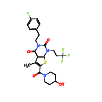 Cc1c(C(=O)N2CCC(O)CC2)sc2c1c(=O)n(CCc1ccc(F)cc1)c(=O)n2CCC(F)(F)F